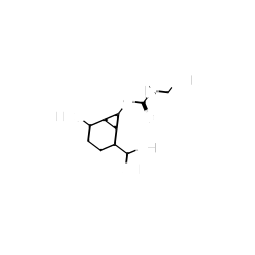 CCNC(=O)OC1C2C(C)CCC(C(C)C)C12